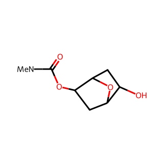 CNC(=O)OC1CC2OC1CC2O